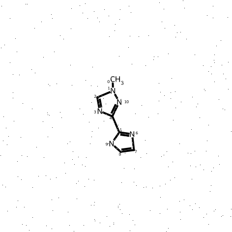 Cn1cnc(C2=NC=C[N]2)n1